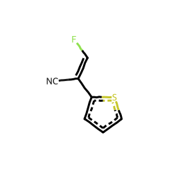 N#C/C(=C\F)c1cccs1